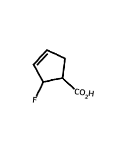 O=C(O)C1CC=CC1F